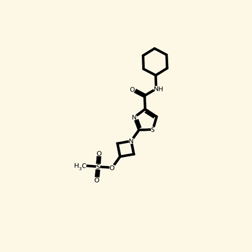 CS(=O)(=O)OC1CN(c2nc(C(=O)NC3CCCCC3)cs2)C1